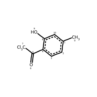 Cc1ccc(C(=O)C(Cl)(Cl)Cl)c(O)c1